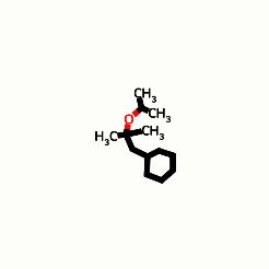 CC(C)OC(C)(C)CC1CCCCC1